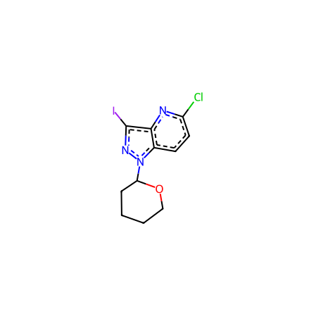 Clc1ccc2c(n1)c(I)nn2C1CCCCO1